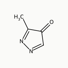 CC1=NN=CC1=O